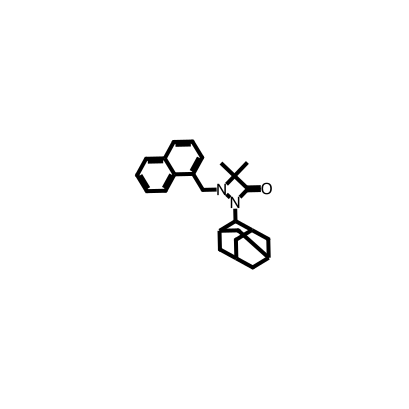 CC1(C)C(=O)N(C2C3CC4CC(C3)CC2C4)N1Cc1cccc2ccccc12